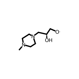 CN1CCN(C[C@H](O)C[O])CC1